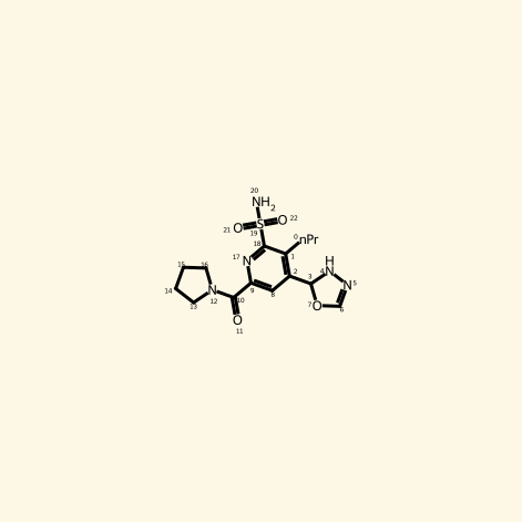 CCCc1c(C2NN=CO2)cc(C(=O)N2CCCC2)nc1S(N)(=O)=O